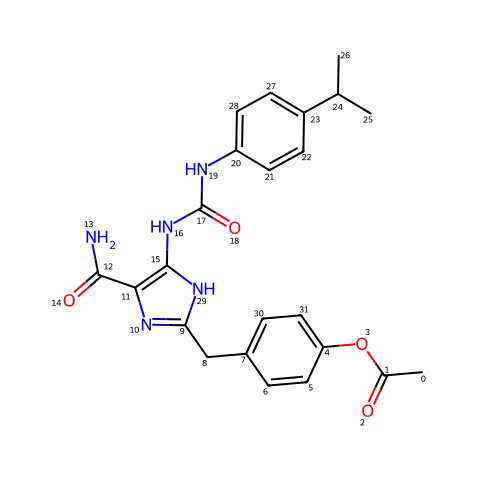 CC(=O)Oc1ccc(Cc2nc(C(N)=O)c(NC(=O)Nc3ccc(C(C)C)cc3)[nH]2)cc1